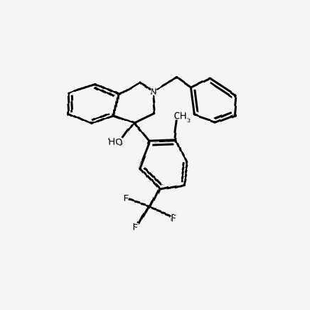 Cc1ccc(C(F)(F)F)cc1C1(O)CN(Cc2ccccc2)Cc2ccccc21